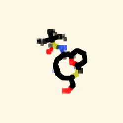 CC(C)(C)[S@@+]([O-])N[C@@H]1C/C=C\CC(CO)S[C@@H]2CCC[C@H]1O2